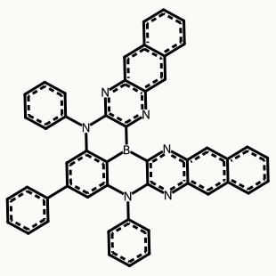 c1ccc(-c2cc3c4c(c2)N(c2ccccc2)c2nc5cc6ccccc6cc5nc2B4c2nc4cc5ccccc5cc4nc2N3c2ccccc2)cc1